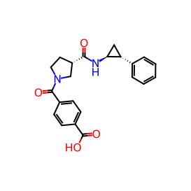 O=C(O)c1ccc(C(=O)N2CC[C@H](C(=O)N[C@H]3C[C@@H]3c3ccccc3)C2)cc1